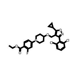 CCOC(=O)c1ccc(N2CCC(OCc3c(-c4c(Cl)cccc4Cl)noc3C3CC3)CC2)cc1F